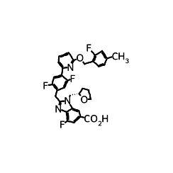 Cc1ccc(COc2cccc(-c3cc(F)c(Cc4nc5c(F)cc(C(=O)O)cc5n4C[C@@H]4CCCO4)cc3F)n2)c(F)c1